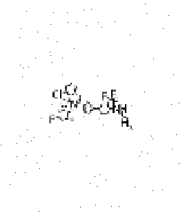 CCNc1ccc(-c2ccc(-c3cc4cccc(Cl)c4c(=O)n3Cc3ccc(F)cc3F)s2)cc1C(F)(F)F